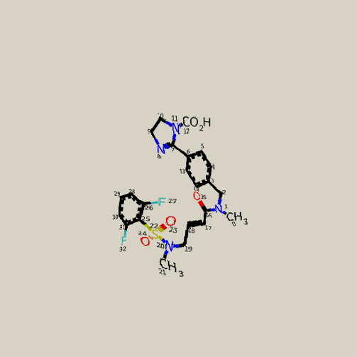 CN(Cc1ccc(C2=NCCN2C(=O)O)cc1)C(=O)/C=C/CN(C)S(=O)(=O)c1c(F)cccc1F